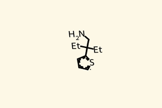 CCC(CC)(CN)c1cc[c]s1